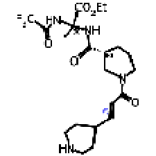 CCOC(=O)[C@](C)(NC(=O)[C@@H]1CCCN(C(=O)/C=C/C2CCNCC2)C1)NC(=O)C(F)(F)F